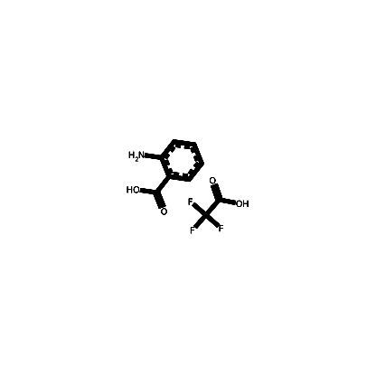 Nc1ccccc1C(=O)O.O=C(O)C(F)(F)F